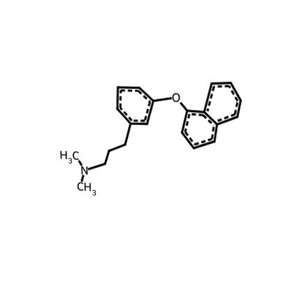 CN(C)CCCc1cccc(Oc2cccc3ccccc23)c1